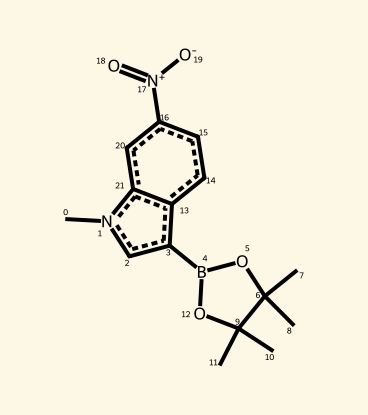 Cn1cc(B2OC(C)(C)C(C)(C)O2)c2ccc([N+](=O)[O-])cc21